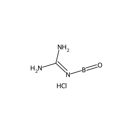 Cl.NC(N)=NB=O